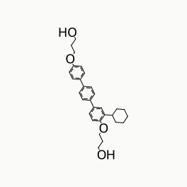 OCCCOc1ccc(-c2ccc(-c3ccc(OCCCO)c(C4CCCCC4)c3)cc2)cc1